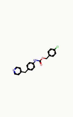 O=C(Nc1ccc(Cc2ccncc2)cc1)OCc1ccc(Cl)cc1